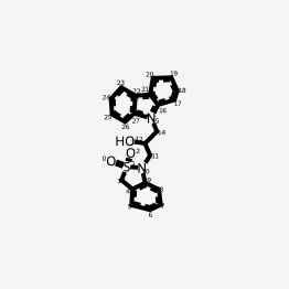 O=S1(=O)Cc2ccccc2N1CC(O)Cn1c2ccccc2c2ccccc21